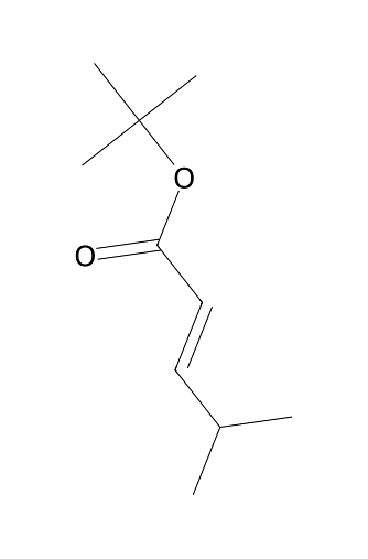 CC(C)C=CC(=O)OC(C)(C)C